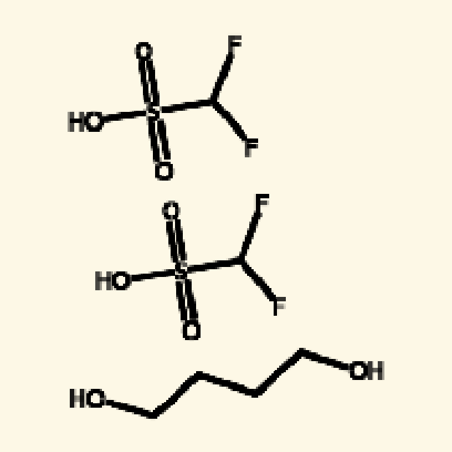 O=S(=O)(O)C(F)F.O=S(=O)(O)C(F)F.OCCCCO